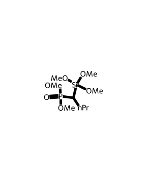 CCCC([Si](OC)(OC)OC)P(=O)(OC)OC